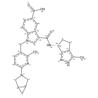 Cc1nc(N2CC3CC3C2)ccc1Cn1cc(C(=O)N[C@@H]2CCc3c2n[nH]c3C)c2cc(C(=O)O)ccc21